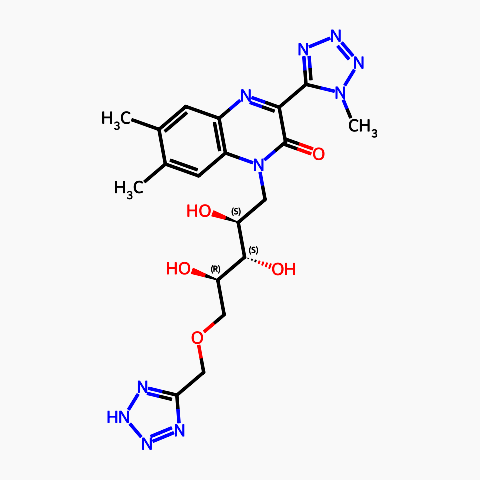 Cc1cc2nc(-c3nnnn3C)c(=O)n(C[C@H](O)[C@H](O)[C@H](O)COCc3nn[nH]n3)c2cc1C